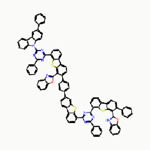 c1ccc(-c2ccc3c(c2)c2ccccc2n3-c2nc(-c3ccccc3)nc(-c3cccc4c3sc3c(-c5nc6ccccc6o5)c(-c5ccc(-c6ccc7c(c6)sc6c(-c8nc(-c9ccccc9)nc(-c9cccc%10c9sc9c(C%11Nc%12ccccc%12O%11)c(-c%11ccccc%11)ccc9%10)n8)cccc67)cc5)ccc34)n2)cc1